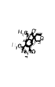 Cc1n[nH]c(=O)c2cc3c(cc12)N(C)C(=O)C31CCOCC1